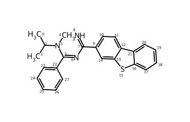 CC(C)N(C)/C(=N\C(=N)c1ccc2c(c1)sc1ccccc12)c1ccccc1